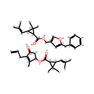 C=CCC1=C(C)C(OC(=O)C2C(C=C(C)C)C2(C)C)CC1=O.CC(C)=CC1C(C(=O)OCc2coc(Cc3ccccc3)c2)C1(C)C